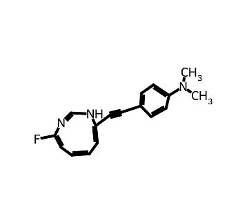 CN(C)c1ccc(C#Cc2ccccc(F)nc[nH]2)cc1